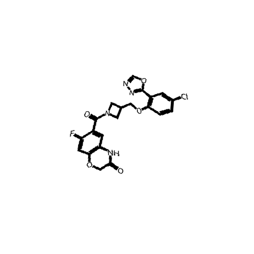 O=C1COc2cc(F)c(C(=O)N3CC(COc4ccc(Cl)cc4-c4nnco4)C3)cc2N1